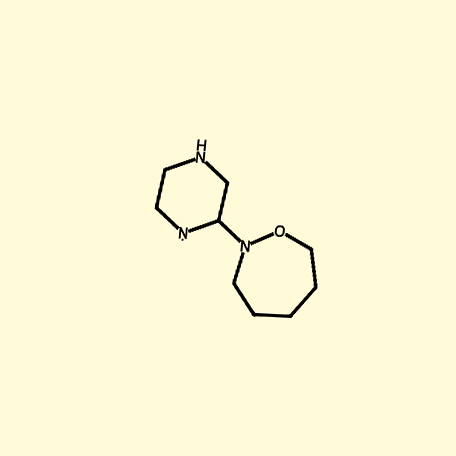 C1CCON(C2CNCC[N]2)CC1